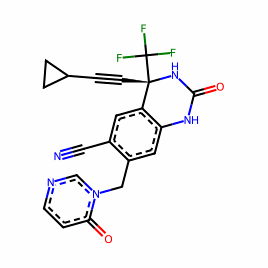 N#Cc1cc2c(cc1Cn1cnccc1=O)NC(=O)N[C@@]2(C#CC1CC1)C(F)(F)F